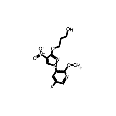 COc1ncc(F)cc1-n1cc([N+](=O)[O-])c(OCCCO)n1